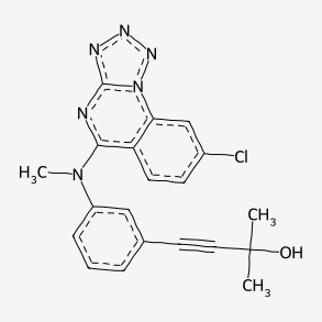 CN(c1cccc(C#CC(C)(C)O)c1)c1nc2nnnn2c2cc(Cl)ccc12